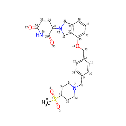 CS(=O)(=O)C1CCN(Cc2ccc(COc3cccc4c3CN(C3CCC(=O)NC3=O)C4)cc2)CC1